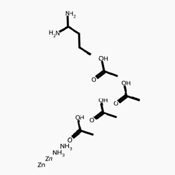 CC(=O)O.CC(=O)O.CC(=O)O.CC(=O)O.CCCC(N)N.N.N.[Zn].[Zn]